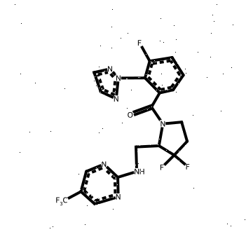 O=C(c1cccc(F)c1-n1nccn1)N1CCC(F)(F)C1CNc1ncc(C(F)(F)F)cn1